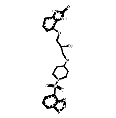 O=c1[nH]c2cccc(OC[C@@H](O)CNC3CCN(S(=O)(=O)c4cccc5nsnc45)CC3)c2[nH]1